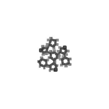 c1ccc(-c2cocc2-c2cc(-c3cocc3-c3ccccc3)cc(-c3cocc3-c3ccccc3)c2)cc1